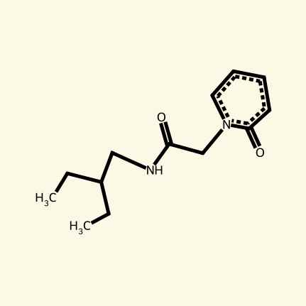 CCC(CC)CNC(=O)Cn1ccccc1=O